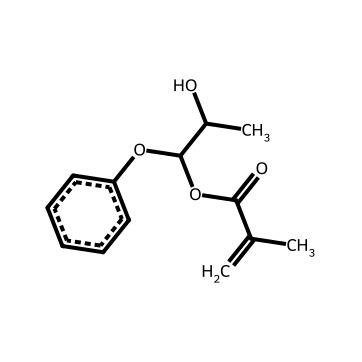 C=C(C)C(=O)OC(Oc1ccccc1)C(C)O